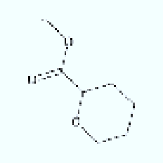 [CH2]OC(=O)C1CCCCO1